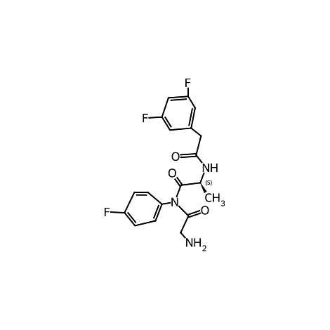 C[C@H](NC(=O)Cc1cc(F)cc(F)c1)C(=O)N(C(=O)CN)c1ccc(F)cc1